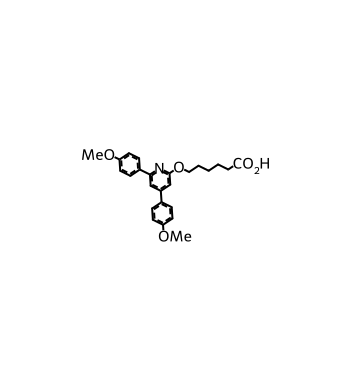 COc1ccc(-c2cc(OCCCCCC(=O)O)nc(-c3ccc(OC)cc3)c2)cc1